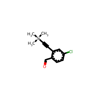 C[Si](C)(C)C#Cc1cc(Cl)ccc1C=O